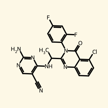 CC(Nc1nc(N)ncc1C#N)c1nc2cccc(Cl)c2c(=O)n1-c1ccc(F)cc1F